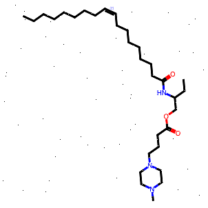 CCCCCCCC/C=C\CCCCCCCC(=O)NC(CC)COC(=O)CCCN1CCN(C)CC1